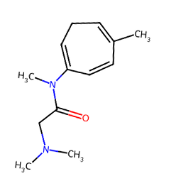 CC1=CCC=C(N(C)C(=O)CN(C)C)C=C1